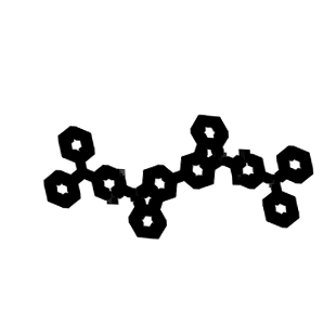 c1ccc(C(c2ccccc2)c2cnc(-n3c4ccccc4c4cc(-c5ccc6c(c5)c5ccccc5n6-c5ncc(N(c6ccccc6)c6ccccc6)cn5)ccc43)nc2)cc1